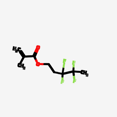 C=C(C)C(=O)OCCC(F)(F)C(C)(F)F